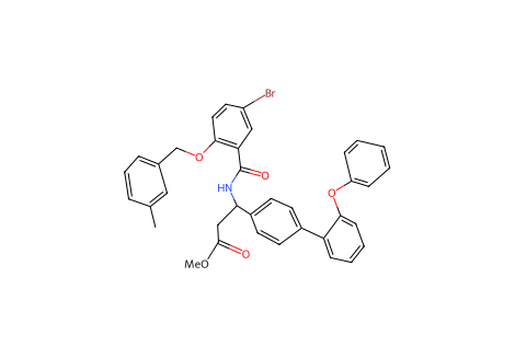 COC(=O)CC(NC(=O)c1cc(Br)ccc1OCc1cccc(C)c1)c1ccc(-c2ccccc2Oc2ccccc2)cc1